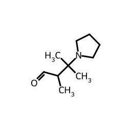 CC(C=O)C(C)(C)N1CCCC1